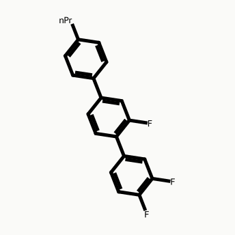 CCCc1ccc(-c2ccc(-c3ccc(F)c(F)c3)c(F)c2)cc1